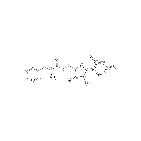 N[C@@H](Cc1ccccc1)C(=O)OCC1OC(n2ncc(=O)[nH]c2=O)C(O)C1O